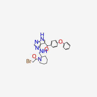 O=C(c1ccc(Oc2ccccc2)cc1)c1c[nH]c2ncnc(NCC3CCCCCN3C(=O)CBr)c12